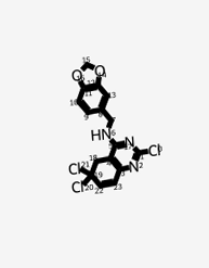 Clc1nc2c(c(NCc3ccc4c(c3)OCO4)n1)CC(Cl)(Cl)C=C2